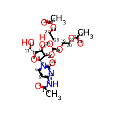 CC(=O)Nc1ccn([C@@H]2O[C@H](CO)C(O)C2OC(OCCOC(C)=O)OCCOC(C)=O)c(=O)n1